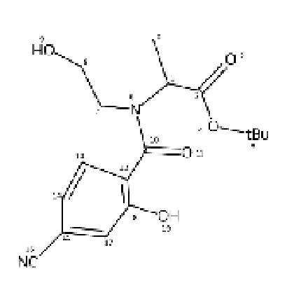 CC(C(=O)OC(C)(C)C)N(CCO)C(=O)c1ccc(C#N)cc1O